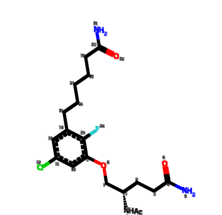 CC(=O)N[C@@H](CCC(N)=O)COc1cc(Cl)cc(CCCCCC(N)=O)c1F